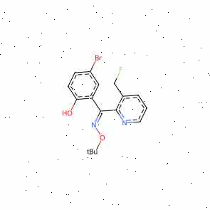 CC(C)(C)O/N=C(/c1cc(Br)ccc1O)c1ncccc1CF